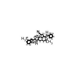 CCCCCC(NC(=O)c1cc2c(C)cccc2[nH]1)C(=O)N1CC(C(=O)Nc2ccccc2)CC1C#N